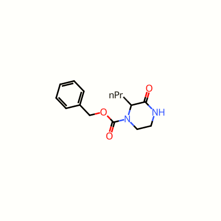 CCCC1C(=O)NCCN1C(=O)OCc1ccccc1